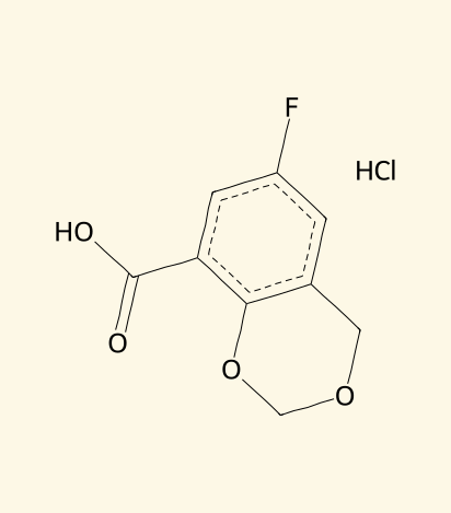 Cl.O=C(O)c1cc(F)cc2c1OCOC2